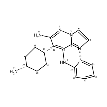 Nc1nn2ccnc2c(Nc2ccccn2)c1[C@H]1CC[C@@H](N)CC1